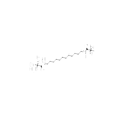 BC(B)(Br)C(=O)NCCCCCCCCCCCCNC(=O)C(C)(Br)Br